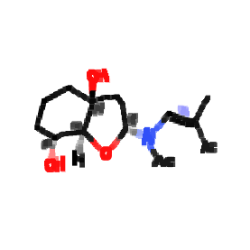 CC(=O)/C(C)=C\N(C(C)=O)[C@H]1C[C@@]2(O)CCC[C@@H](O)[C@@H]2O1